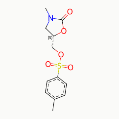 Cc1ccc(S(=O)(=O)OC[C@@H]2CN(C)C(=O)O2)cc1